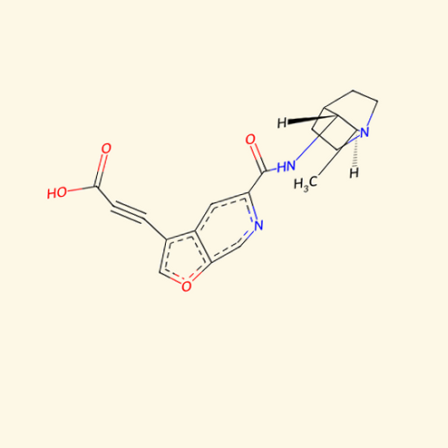 C[C@H]1[C@H](NC(=O)c2cc3c(C#CC(=O)O)coc3cn2)C2CCN1CC2